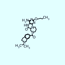 CCCCOc1nc(N)c2c(n1)N1CCCN(C(=O)c3ccc4c(c3)CN(C(C)C)CC4)CC1C(=O)N2